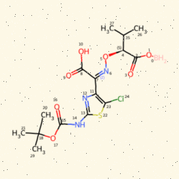 BOC(=O)[C@@H](O/N=C(\C(=O)O)c1nc(NC(=O)OC(C)(C)C)sc1Cl)C(C)C